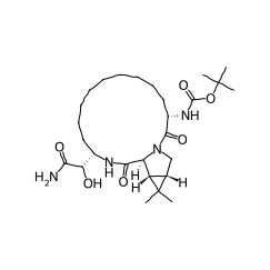 CC(C)(C)OC(=O)N[C@H]1CCCCCCCCC[C@@H](C(O)C(N)=O)NC(=O)[C@@H]2[C@@H]3[C@H](CN2C1=O)C3(C)C